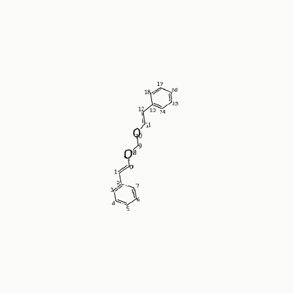 C(=Cc1ccccc1)OCOC=Cc1ccccc1